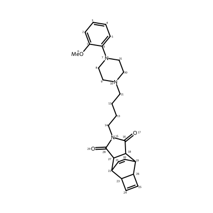 COc1ccccc1N1CCN(CCCCN2C(=O)C3C4C=CC(C5C=CC54)C3C2=O)CC1